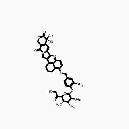 CC[C@@]1(O)C(=O)OCc2c1cc1n(c2=O)Cc2c-1nc1ccc(OCc3ccc(O[C@@H]4OC(C(=O)CO)[C@@H](C)[C@H](C)C4OC(C)=O)c([N+](=O)[O-])c3)c3c1c2CCC3